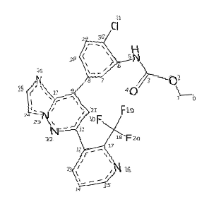 CCOC(=O)Nc1cc(-c2cc(-c3cccnc3C(F)(F)F)nn3ccnc23)ccc1Cl